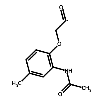 CC(=O)Nc1cc(C)ccc1OC[C]=O